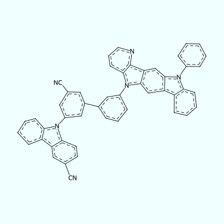 N#Cc1cc(-c2cccc(-n3c4cc5c6ccccc6n(-c6ccccc6)c5cc4c4ncccc43)c2)cc(-n2c3ccccc3c3cc(C#N)ccc32)c1